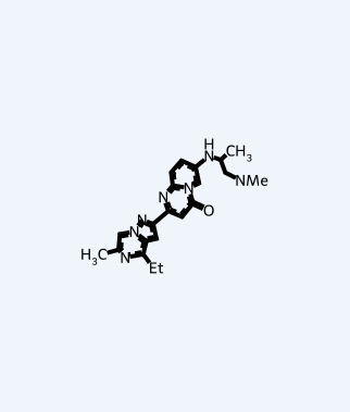 CCc1nc(C)cn2nc(-c3cc(=O)n4cc(NC(C)CNC)ccc4n3)cc12